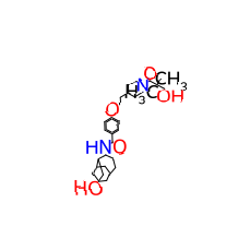 CC(C)(CO)C(=O)N1CCC(CCOc2ccc(C(=O)NC3CCC4CC5CC(O)(C4)CC53)cc2)CC1